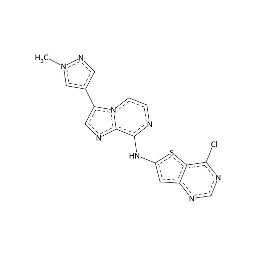 Cn1cc(-c2cnc3c(Nc4cc5ncnc(Cl)c5s4)nccn23)cn1